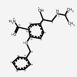 CC(C)NCC(O)c1ccc(OCc2ccccc2)c(C(N)=O)c1